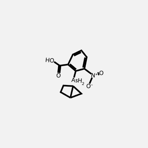 C1CC2CC12.O=C(O)c1cccc([N+](=O)[O-])c1[AsH2]